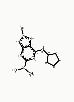 CC(C)n1nc2nc(N(C)C)nc(NC3CCCC3)c2n1